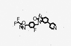 Cn1c(=O)n(Cc2ccc(-c3nnc(C(F)F)o3)cc2F)c2cc(-c3ccncc3)ccc21